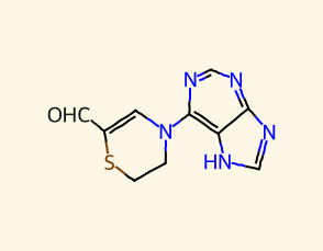 O=CC1=CN(c2ncnc3nc[nH]c23)CCS1